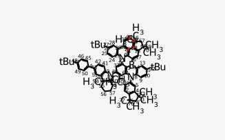 Cc1cc2c(cc1N1c3ccc(C(C)(C)C)cc3B3c4cc5c(cc4N(c4ccc(C(C)(C)C)cc4-c4ccccc4)c4cc(N6c7ccc(-c8ccc(C(C)(C)C)cc8)cc7C7(C)CCCCC67C)cc1c43)C(C)(C)CC5(C)C)C(C)(C)CC2(C)C